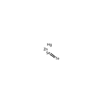 [Hg].[Se]=[Te].[Zn]